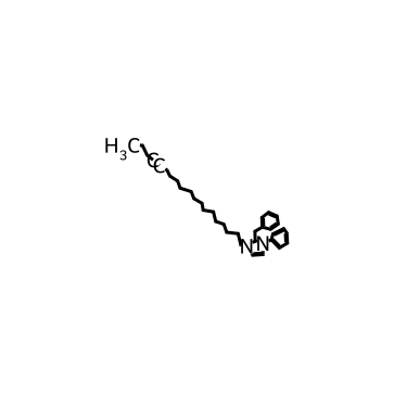 CCCCCCCCCCCCCCCCCCCN1C=CN(c2ccccc2)C1Cc1ccccc1